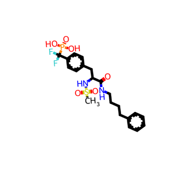 CS(=O)(=O)NC(Cc1ccc(C(F)(F)P(=O)(O)O)cc1)C(=O)NCCCCc1ccccc1